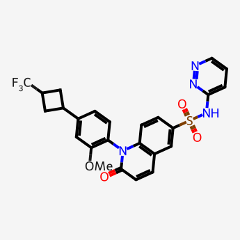 COc1cc(C2CC(C(F)(F)F)C2)ccc1-n1c(=O)ccc2cc(S(=O)(=O)Nc3cccnn3)ccc21